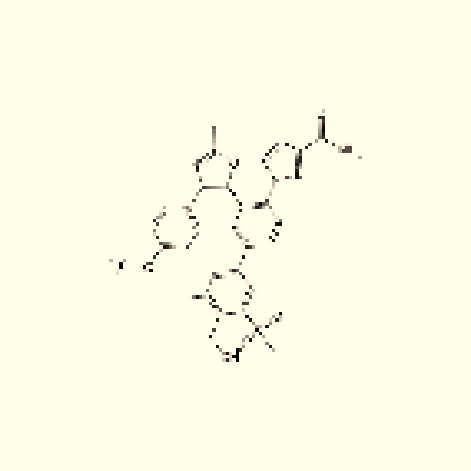 Cc1nc(-c2ccc(OC(F)(F)F)cc2)c(-c2cc(-c3cc(F)c(CO)c(S(C)(=O)=O)c3)ccc2-n2ccc(C(N)=O)n2)o1